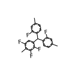 Cc1ccc(C(c2ccc(C)cc2F)c2cc(F)c(C)c(F)c2F)c(F)c1